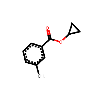 Cc1cccc(C(=O)OC2CC2)c1